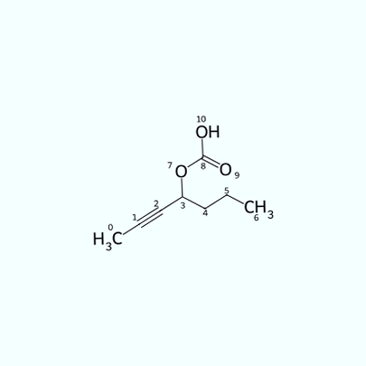 CC#CC(CCC)OC(=O)O